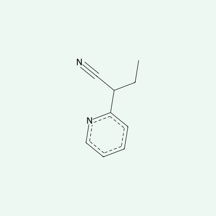 CCC(C#N)c1ccccn1